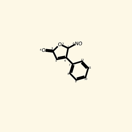 O=NC1OC(=O)C=C1c1ccccc1